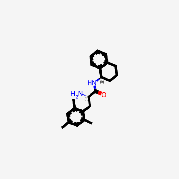 Cc1cc(C)c(C[C@H](N)C(=O)N[C@@H]2CCCc3ccccc32)c(C)c1